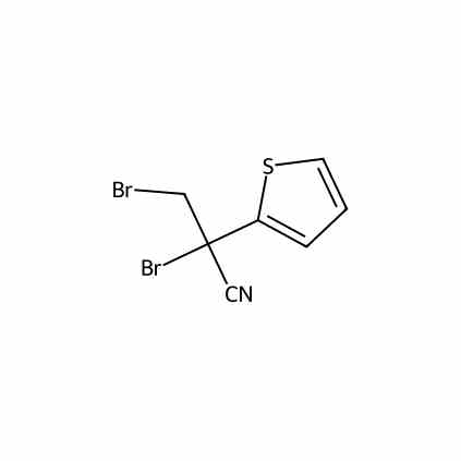 N#CC(Br)(CBr)c1cccs1